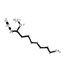 CCCCCCCCC(N=C=O)OC